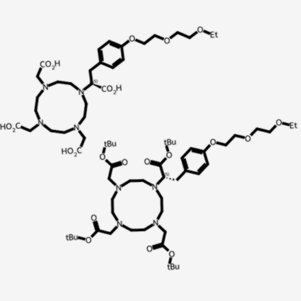 CCOCCOCCOc1ccc(C[C@@H](C(=O)O)N2CCN(CC(=O)O)CCN(CC(=O)O)CCN(CC(=O)O)CC2)cc1.CCOCCOCCOc1ccc(C[C@@H](C(=O)OC(C)(C)C)N2CCN(CC(=O)OC(C)(C)C)CCN(CC(=O)OC(C)(C)C)CCN(CC(=O)OC(C)(C)C)CC2)cc1